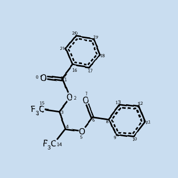 O=C(OC(C(OC(=O)c1ccccc1)C(F)(F)F)C(F)(F)F)c1ccccc1